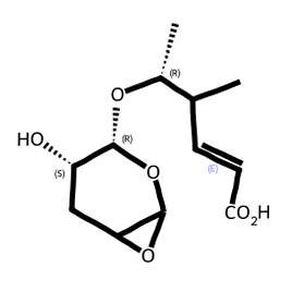 CC(/C=C/C(=O)O)[C@@H](C)O[C@@H]1OC2OC2C[C@@H]1O